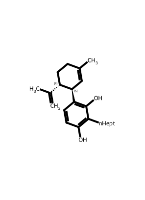 C=C(C)[C@@H]1CCC(C)=C[C@H]1c1ccc(O)c(CCCCCCC)c1O